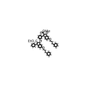 CCOC(=O)C1=C(c2ccccc2)c2ccc(OCCCc3ccccc3)cc2C1=O.COC(=O)C1=C(c2ccccc2)c2ccc(OCCCc3ccccc3)cc2C1=O